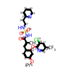 CC(=Cc1ccc(OC(C)C)cc1Oc1ncc(C(F)(F)F)cc1Cl)C(=O)NS(=O)(=O)NCCc1ccccn1